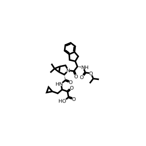 CC(C)OC(=O)N[C@H](C(=O)N1CC2C([C@H]1C(=O)NC(CC1CC1)C(=O)C(=O)O)C2(C)C)C1Cc2ccccc2C1